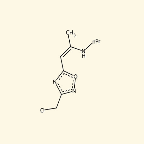 CCCNC(C)=Cc1nc(CCl)no1